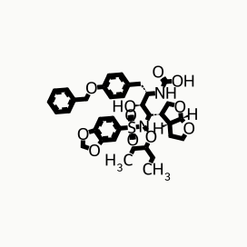 CCC(CC)ON(C([C@H](O)[C@H](Cc1ccc(OCc2ccccc2)cc1)NC(=O)O)[C@@H]1CO[C@H]2OCC[C@H]21)S(=O)(=O)c1ccc2c(c1)OCO2